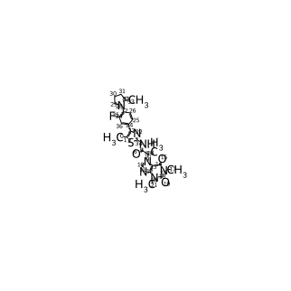 Cc1sc(NC(=O)[C@H](C)n2cnc3c2c(=O)n(C)c(=O)n3C)nc1-c1ccc(N2CCC[C@@H]2C)c(F)c1